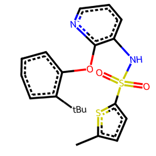 Cc1ccc(S(=O)(=O)Nc2cccnc2Oc2ccccc2C(C)(C)C)s1